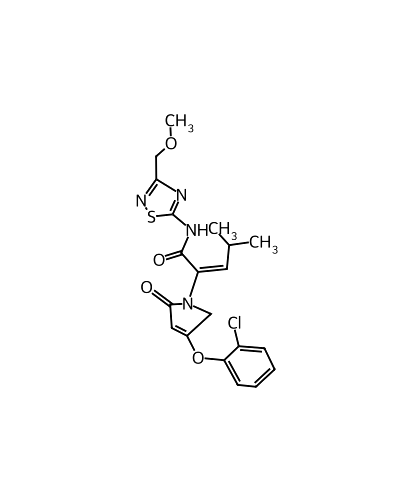 COCc1nsc(NC(=O)C(=CC(C)C)N2CC(Oc3ccccc3Cl)=CC2=O)n1